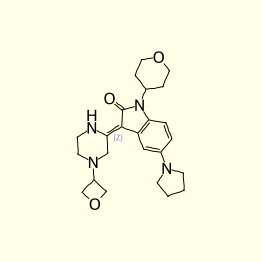 O=C1/C(=C2/CN(C3COC3)CCN2)c2cc(N3CCCC3)ccc2N1C1CCOCC1